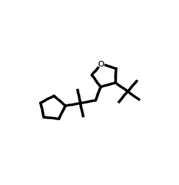 CC(C)(C)C1COCC1CC(C)(C)C1CCCC1